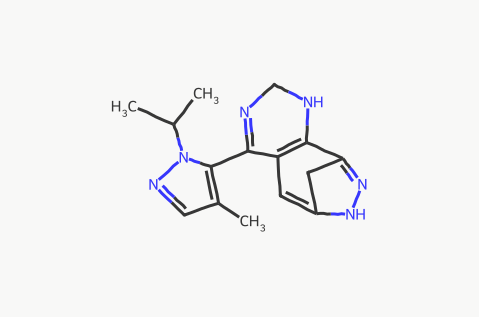 Cc1cnn(C(C)C)c1C1=NCNC2=C1C=C1CC2=NN1